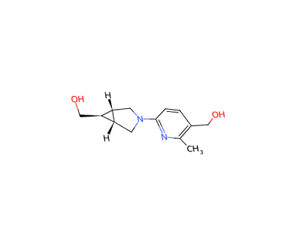 Cc1nc(N2C[C@@H]3[C@@H](CO)[C@@H]3C2)ccc1CO